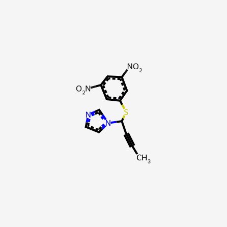 CC#CC(Sc1cc([N+](=O)[O-])cc([N+](=O)[O-])c1)n1ccnc1